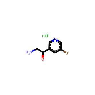 Cl.NCC(=O)c1cncc(Br)c1